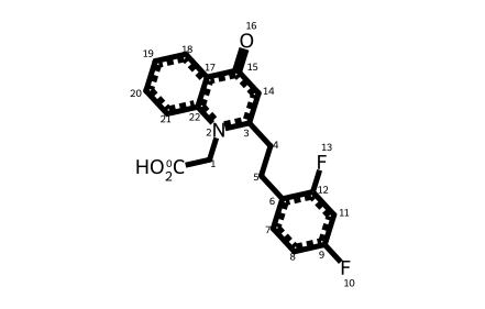 O=C(O)Cn1c(CCc2ccc(F)cc2F)cc(=O)c2ccccc21